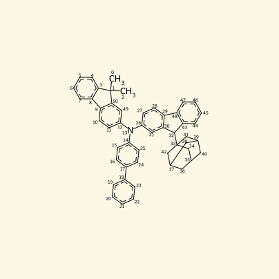 CC1(C)c2ccccc2-c2ccc(N(c3ccc(-c4ccccc4)cc3)c3ccc4c(c3)C(C35CC6CC(CC(C6)C3)C5)c3ccccc3-4)cc21